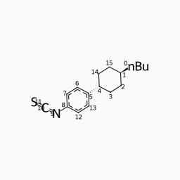 CCCC[C@H]1CC[C@H](c2ccc(N=C=S)cc2)CC1